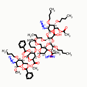 CCCCOC[C@H](O[C@H]1OC(COC(C)=O)[C@@H](OCCCC)C(OCCCC)[C@@H]1N=[N+]=[N-])C(O[C@@H](O[C@@H]1C(COC(C)=O)O[C@H](O[C@@H]2C(C(=O)OC)O[C@@H](O[C@@H]3C(COC(=O)c4ccccc4)O[C@H](OC)C(N=[N+]=[N-])[C@H]3OCCCC)[C@@H](OC(=O)c3ccccc3)C2OCCCC)[C@@H](N=[N+]=[N-])C1OC(C)=O)[C@H](C)OCCCC)C(=O)O